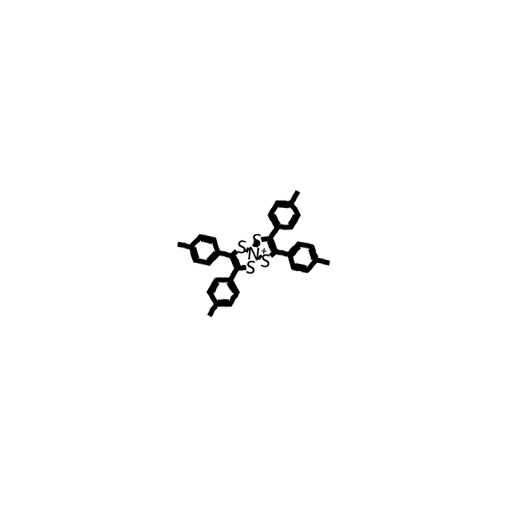 Cc1ccc(C2=C(c3ccc(C)cc3)S[N+]3(S2)SC(c2ccc(C)cc2)=C(c2ccc(C)cc2)S3)cc1